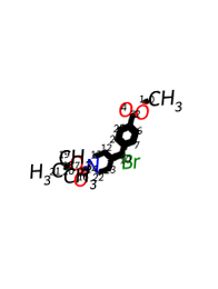 CCOC(=O)c1ccc(C(Br)=C2CCN(C(=O)OC(C)(C)C)CC2)cc1